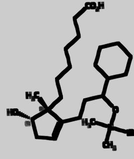 CC(C)(C)[Si](C)(C)OC(CCC1=CC[C@H](O)[C@]1(C)CCCCCCC(=O)O)C1CCCCC1